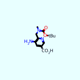 CN(Cc1ncc(C(=O)O)cc1N)C(=O)OC(C)(C)C